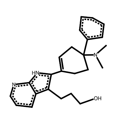 CN(C)C1(c2ccccc2)CC=C(c2[nH]c3ncccc3c2CCCO)CC1